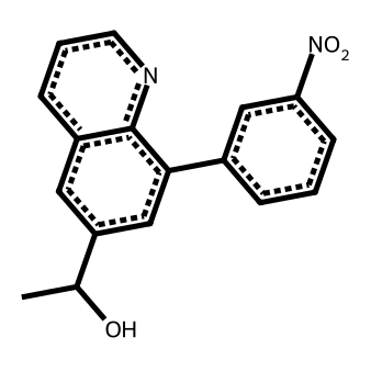 CC(O)c1cc(-c2cccc([N+](=O)[O-])c2)c2ncccc2c1